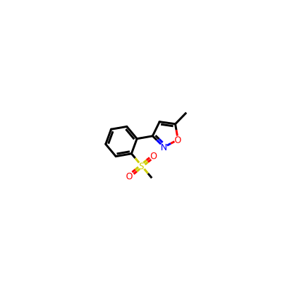 Cc1cc(-c2ccccc2S(C)(=O)=O)no1